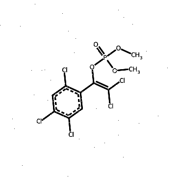 COP(=O)(OC)OC(=C(Cl)Cl)c1cc(Cl)c(Cl)cc1Cl